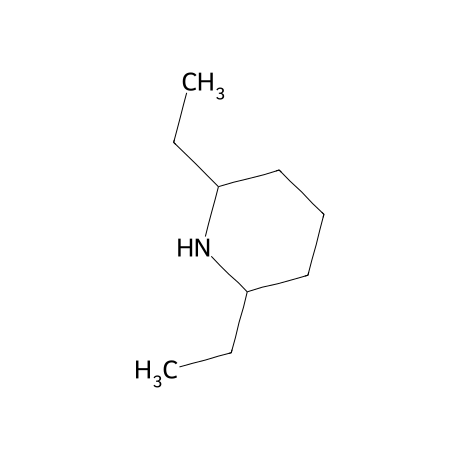 CCC1CCCC(CC)N1